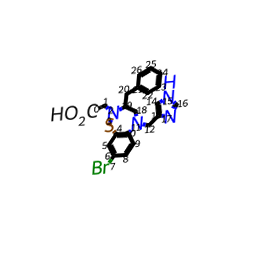 O=C(O)CN1Sc2cc(Br)ccc2N(Cc2c[nH]cn2)CC1Cc1ccccc1